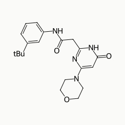 CC(C)(C)c1cccc(NC(=O)Cc2nc(N3CCOCC3)cc(=O)[nH]2)c1